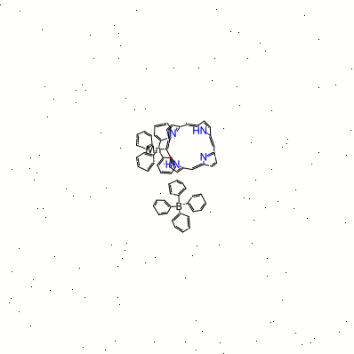 C1=Cc2cc3ccc([nH]3)[c]([Mn]([c]3ccccc3)([c]3ccccc3)([c]3ccccc3)[c]3ccccc3)c3nc(cc4ccc(cc1n2)[nH]4)C=C3.c1ccc([B-](c2ccccc2)(c2ccccc2)c2ccccc2)cc1